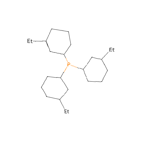 CCC1CCCC(P(C2CCCC(CC)C2)C2CCCC(CC)C2)C1